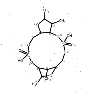 CC1OC2COP(=O)(O)OC3C(C)OC(COP(=O)(O)OC2C1C)C3C